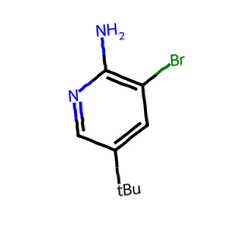 CC(C)(C)c1cnc(N)c(Br)c1